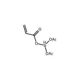 C=CC(=O)O[SiH](OC(C)=O)OC(C)=O